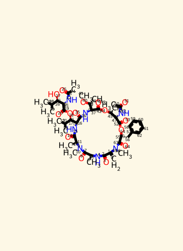 C=C1C(=O)N[C@@H](C)C(=O)N(C)[C@@H](C)C(=O)N[C@@H]([C@H](OC(=O)[C@@H](NC(C)=O)[C@H](O)C(C)C)C(C)C)C(=O)N[C@@H]([C@@H](C)OC)C(=O)O[C@H](C)[C@H](NC(C)=O)C(=O)O[C@H](Cc2ccccc2)C(=O)N1C